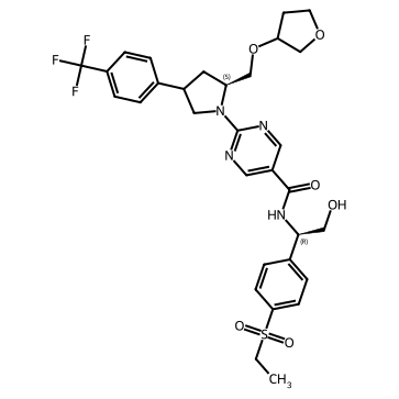 CCS(=O)(=O)c1ccc([C@H](CO)NC(=O)c2cnc(N3CC(c4ccc(C(F)(F)F)cc4)C[C@H]3COC3CCOC3)nc2)cc1